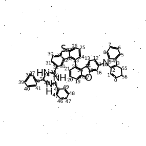 C1=Cc2c(c3ccccc3n2-c2ccc3c(c2)oc2cccc(-c4cccc5sc6ccc(C7NC(c8ccccc8)NC(c8ccccc8)N7)cc6c45)c23)CC1